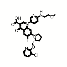 COCCNc1ccc(-n2cc(C(=O)O)c(=O)c3cc(I)c(N4CCC[C@@H]4COc4ncccc4Cl)cc32)cn1